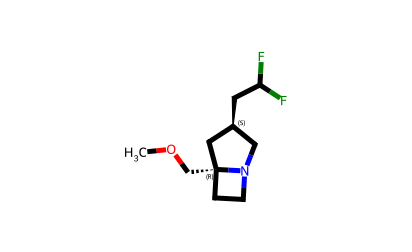 COC[C@@]12CCN1C[C@H](CC(F)F)C2